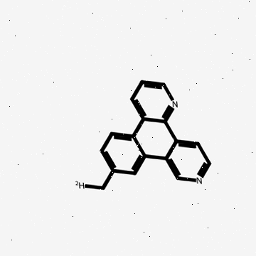 [2H]Cc1ccc2c(c1)c1cnccc1c1ncccc21